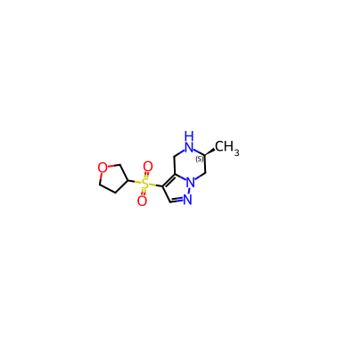 C[C@H]1Cn2ncc(S(=O)(=O)C3CCOC3)c2CN1